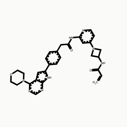 C=CC(=O)NC1CN(c2ccnc(NC(=O)Cc3ccc(-c4cc5c(N6CCOCC6)ncnc5[nH]4)cc3)c2)C1